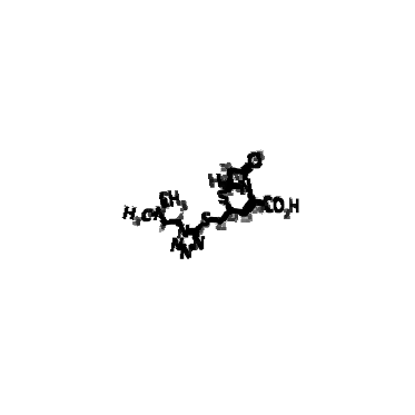 CN(C)CCn1nnnc1SCC1C=C(C(=O)O)N2C(=O)C[C@H]2S1